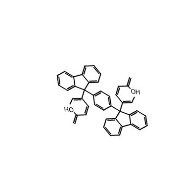 C=C(O)/C=C\C(=C/C)C1(c2ccc(C3(C(/C=C\C(=C)O)=C/C)c4ccccc4-c4ccccc43)cc2)c2ccccc2-c2ccccc21